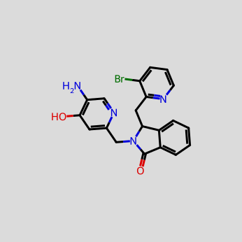 Nc1cnc(CN2C(=O)c3ccccc3C2Cc2ncccc2Br)cc1O